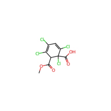 COC(=O)C1C(Cl)=C(Cl)C=C(Cl)C1(Cl)C(=O)O